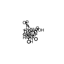 COC(=O)/C=C/CC[C@H](NC(=O)c1cncc(C(=O)O)c1)C(=O)N[C@H](C(=O)N1CCC[C@H]1C(=O)N[C@H](C(=O)N[C@H](C(N)=O)C1CCCCC1)C1CCCCC1)C(C)(C)C